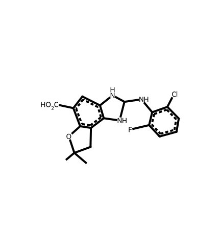 CC1(C)Cc2c3c(cc(C(=O)O)c2O1)NC(Nc1c(F)cccc1Cl)N3